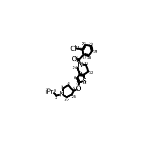 CC(C)CN1CCC(Oc2cc3c(s2)CCN(C(=O)c2ccccc2Cl)C3)CC1